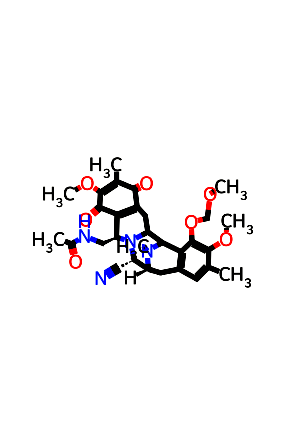 COCOc1c(OC)c(C)cc2c1C1C3CC4=C(C(=O)C(OC)=C(C)C4=O)[C@H](CNC(C)=O)N3[C@@H](C#N)[C@@H](C2)N1C